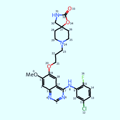 COc1cc2ncnc(Nc3cc(Cl)ccc3F)c2cc1OCCCN1CCC2(CC1)CNC(=O)O2